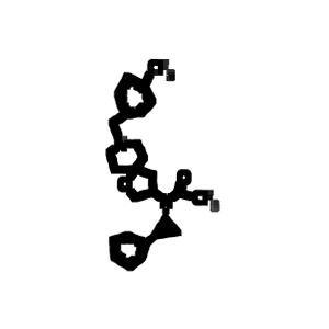 O=C(N(C1COC2(CCN(Cc3ccc(C(F)(F)F)cc3)CC2)C1)[C@@H]1C[C@H]1c1ccccc1)C(F)(F)F